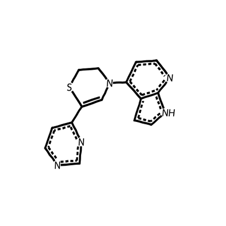 C1=C(c2ccncn2)SCCN1c1ccnc2[nH]ccc12